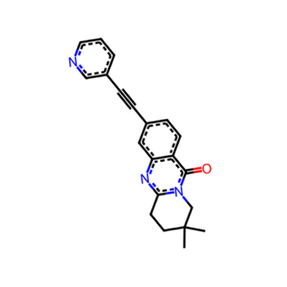 CC1(C)CCc2nc3cc(C#Cc4cccnc4)ccc3c(=O)n2C1